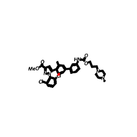 COC(=O)c1cc(-c2ccc(-c3cccc(NC(=O)OCCCN4CCN(C)CC4)c3)cc2C)n(-c2c(Cl)cccc2Cl)n1